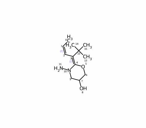 C/C=C\C(=C1\OCC(O)CN1N)C(C)(C)C